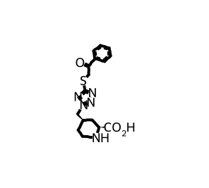 O=C(CSc1nnn(C[C@@H]2CCN[C@@H](C(=O)O)C2)n1)c1ccccc1